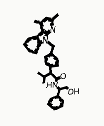 Cc1cc(C)c2c3ccccc3n(Cc3ccc(C(C(=O)NC(CO)c4ccccc4)C(C)C)cc3)c2n1